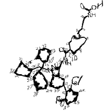 O=C(O)NCCCN1CCCC(C(=O)Nc2nn(C(c3ccccc3)(c3ccccc3)c3ccccc3)c3ccc(-c4c(F)cccc4Cl)cc23)C1